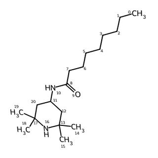 CCCCCCCCC(=O)NC1CC(C)(C)NC(C)(C)C1